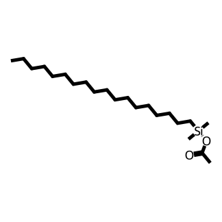 CCCCCCCCCCCCCCCCCC[Si](C)(C)OC(C)=O